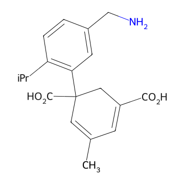 CC1=CC(C(=O)O)(c2cc(CN)ccc2C(C)C)CC(C(=O)O)=C1